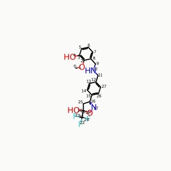 COc1c(O)cccc1CNCc1ccc(C2=NOC(O)(C(F)(F)F)C2)cc1